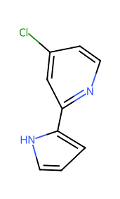 Clc1ccnc(-c2ccc[nH]2)c1